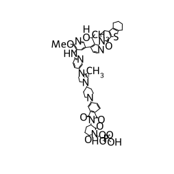 COc1ncc(-c2ccnc(N3CCc4c(sc5c4CCCC5)C3=O)c2C(C)O)cc1Nc1ccc(N2CCN(C3CCN(c4ccc5c(c4)C(=O)N(C4CCC(=O)N(COP(=O)(O)O)C4=O)C5=O)CC3)C[C@@H]2C)cn1